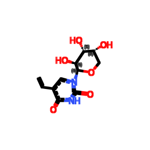 C=Cc1cn([C@@H]2OC[C@@H](O)[C@@H](O)[C@@H]2O)c(=O)[nH]c1=O